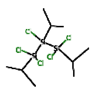 CC(C)[Si](Cl)(Cl)[Si](Cl)(C(C)C)[Si](Cl)(Cl)C(C)C